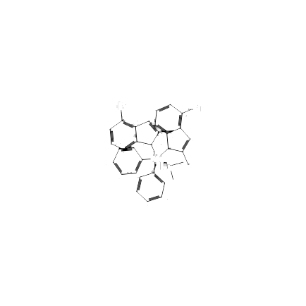 CC1=Cc2c(Br)cccc2[CH]1[Zr]([c]1ccccc1)([c]1ccccc1)([CH]1C(C)=Cc2c(Br)cccc21)[SiH](C)C